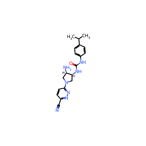 CC(C)c1ccc(NC(=O)N[C@H]2CN(c3ccc(C#N)nn3)C[C@H]2N)cc1